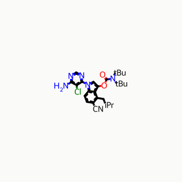 CC(C)Cc1c(C#N)ccc2c1c(OC(=O)N(C(C)(C)C)C(C)(C)C)cn2-c1ncnc(N)c1Cl